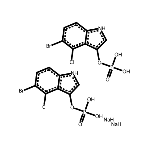 O=P(O)(O)Oc1c[nH]c2ccc(Br)c(Cl)c12.O=P(O)(O)Oc1c[nH]c2ccc(Br)c(Cl)c12.[NaH].[NaH]